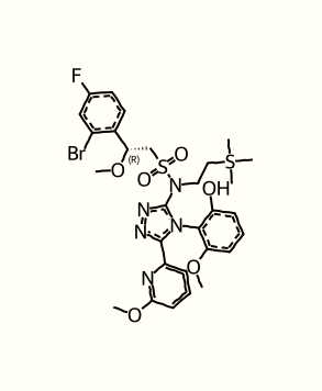 COC1=NC(c2nnc(N(CCS(C)(C)C)S(=O)(=O)C[C@H](OC)c3ccc(F)cc3Br)n2-c2c(O)cccc2OC)=C=C=C1